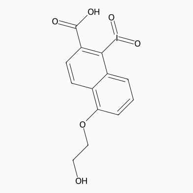 O=C(O)c1ccc2c(OCCO)cccc2c1I(=O)=O